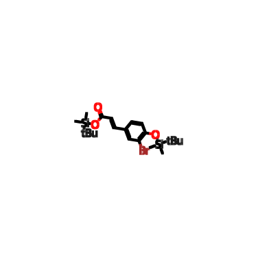 CC(C)(C)[Si](C)(C)OC(=O)C=Cc1ccc(O[Si](C)(C)C(C)(C)C)c(Br)c1